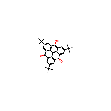 CC(C)(C)c1cc2c3c(c1)c(=O)c1cc(C(C)(C)C)cc4c(O)c5cc(C(C)(C)C)cc(c2=O)c5c-3c41